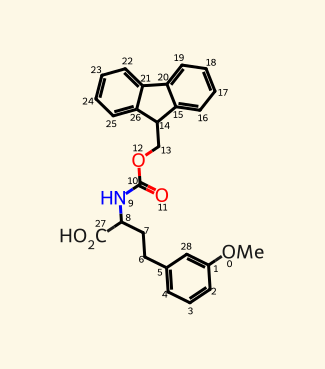 COc1cccc(CCC(NC(=O)OCC2c3ccccc3-c3ccccc32)C(=O)O)c1